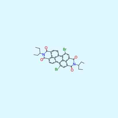 CCC(CC)N1C(=O)c2ccc3c4c(Br)cc5c6c(cc(Br)c(c7ccc(c2c37)C1=O)c64)C(=O)N(C(CC)CC)C5=O